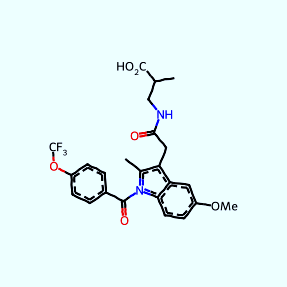 COc1ccc2c(c1)c(CC(=O)NCC(C)C(=O)O)c(C)n2C(=O)c1ccc(OC(F)(F)F)cc1